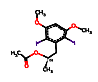 COc1cc(OC)c(I)c(C[C@H](C)OC(C)=O)c1I